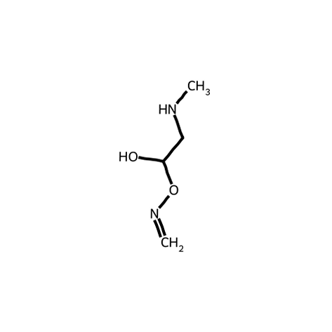 C=NOC(O)CNC